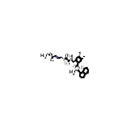 COC(=O)/C=C/CNC(=O)C(=O)NCc1cc(F)c(F)cc1C(=O)N[C@H](C)c1cccc2ccccc12